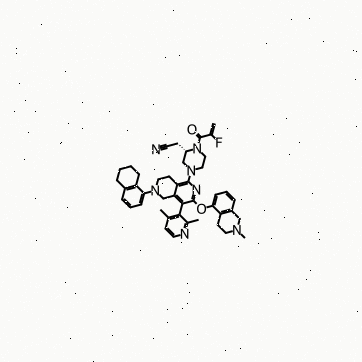 C=C(F)C(=O)N1CCN(c2nc(Oc3cccc4c3CCN(C)C4)c(-c3c(C)ccnc3C)c3c2CCN(c2cccc4c2CCCC4)C3)C[C@@H]1CC#N